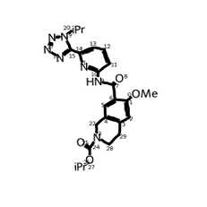 COc1cc2c(cc1C(=O)Nc1cccc(-c3nnnn3C(C)C)n1)CN(C(=O)OC(C)C)CC2